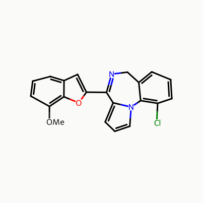 COc1cccc2cc(C3=NCc4cccc(Cl)c4-n4cccc43)oc12